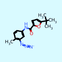 Cc1ccc(NC(=O)c2ccc(C(C)(C)C)o2)cc1N=[N+]=[N-]